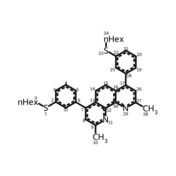 CCCCCCSc1cccc(-c2cc(C)nc3c2ccc2c(-c4cccc(SCCCCCC)c4)cc(C)nc23)c1